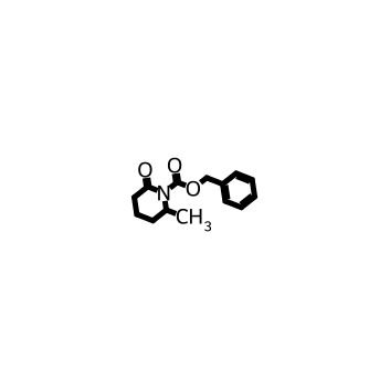 CC1CCCC(=O)N1C(=O)OCc1ccccc1